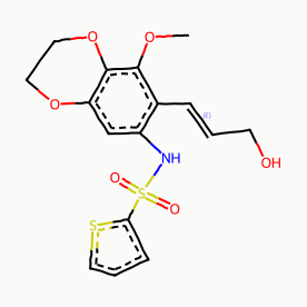 COc1c(/C=C/CO)c(NS(=O)(=O)c2cccs2)cc2c1OCCO2